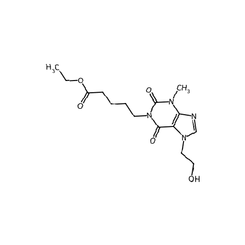 CCOC(=O)CCCCn1c(=O)c2c(ncn2CCO)n(C)c1=O